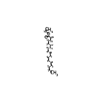 C\C=C/C=C\C=C/C=C\C=C/C=C\C=C/C=C\C(=O)OCC